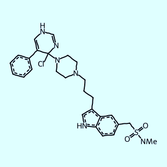 CNS(=O)(=O)Cc1ccc2[nH]cc(CCCN3CCN(C4(Cl)N=CNC=C4c4ccccc4)CC3)c2c1